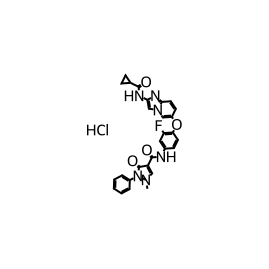 Cl.Cn1cc(C(=O)Nc2ccc(Oc3ccc4nc(NC(=O)C5CC5)cn4c3)c(F)c2)c(=O)n1-c1ccccc1